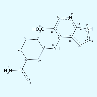 NC(=O)C1CCCC(Nc2c(C(=O)O)cnc3[nH]ccc23)C1